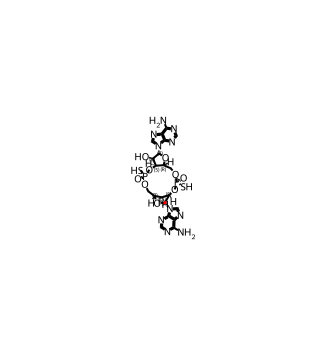 Nc1ncnc2c1ncn2[C@@H]1O[C@@H]2COP(=O)(S)O[C@@H]3[C@@H](F)[C@@H](COP(=O)(S)O[C@H]2[C@H]1O)O[C@H]3n1cnc2c(N)ncnc21